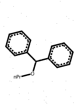 C[CH]COC(c1ccccc1)c1ccccc1